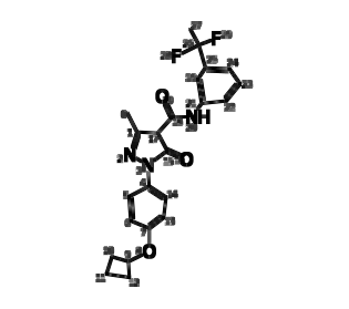 CC1=NN(c2ccc(OC3CCC3)cc2)C(=O)C1C(=O)Nc1cccc(C(C)(F)F)c1